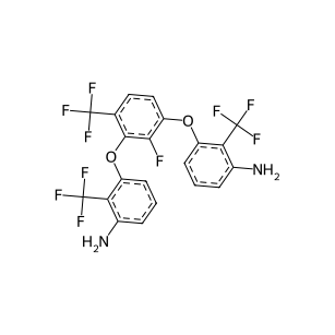 Nc1cccc(Oc2ccc(C(F)(F)F)c(Oc3cccc(N)c3C(F)(F)F)c2F)c1C(F)(F)F